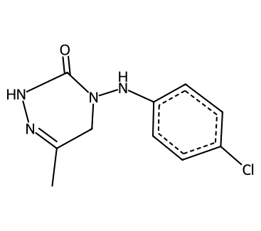 CC1=NNC(=O)N(Nc2ccc(Cl)cc2)C1